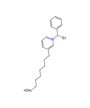 CCCCCCCCCCCCCCCCCc1ccc[n+](C(CC)c2ccccc2)c1